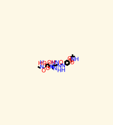 CCNC(=O)[C@H]1O[C@@H](n2cnc3c(NC(=O)Nc4ccc(S(=O)(=O)NC(C)(C)C)cc4)ncnc32)[C@H](O)[C@@H]1O